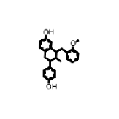 COc1ccccc1CC1c2cc(O)ccc2CC(c2ccc(O)cc2)C1C